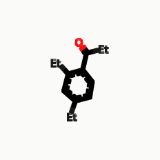 CCC(=O)c1ccc(CC)cc1CC